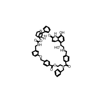 O=C(NCc1cccc(OCc2ccc(C(=O)OCCN(Cc3ccccc3)C(=O)c3ccc(CNC[C@H](O)c4ccc(O)c5[nH]c(=O)ccc45)cc3)cc2)c1)O[C@@H]1C2CCN(CC2)[C@H]1c1ccccc1